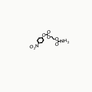 NC(=O)OCCOC(=O)Oc1ccc([N+](=O)[O-])cc1